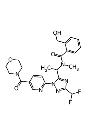 CC(c1nc(C(F)F)nn1-c1ccc(C(=O)N2CCOCC2)cn1)N(C)C(=O)c1ccccc1CO